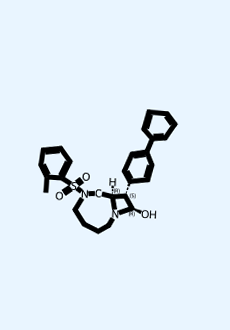 Cc1ccccc1S(=O)(=O)N1CCCCN2[C@H](O)[C@@H](c3ccc(-c4ccccc4)cc3)[C@@H]2C1